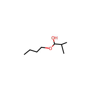 CCCCOC(O)C(C)C